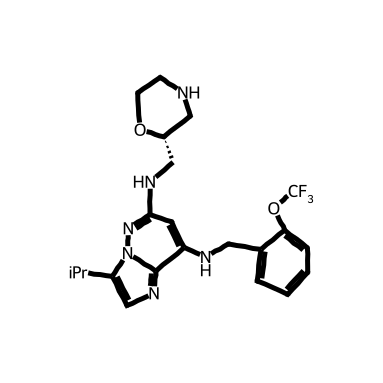 CC(C)c1cnc2c(NCc3ccccc3OC(F)(F)F)cc(NC[C@H]3CNCCO3)nn12